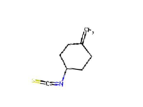 C=C1CCC(N=C=S)CC1